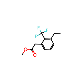 CCc1cccc(CC(=O)OC)c1C(F)(F)F